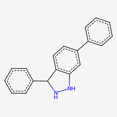 c1ccc(-c2ccc3c(c2)NNC3c2ccccc2)cc1